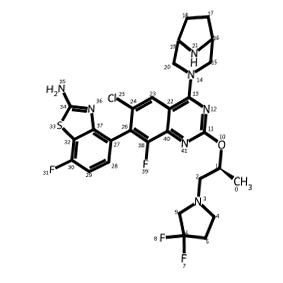 C[C@@H](CN1CCC(F)(F)C1)Oc1nc(N2CC3CCC(C2)N3)c2cc(Cl)c(-c3ccc(F)c4sc(N)nc34)c(F)c2n1